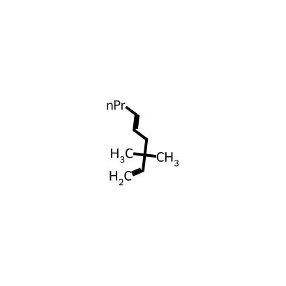 C=CC(C)(C)CC=CCCC